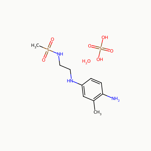 Cc1cc(NCCNS(C)(=O)=O)ccc1N.O.O=S(=O)(O)O